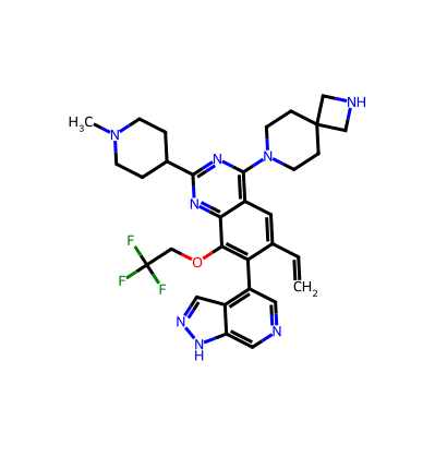 C=Cc1cc2c(N3CCC4(CC3)CNC4)nc(C3CCN(C)CC3)nc2c(OCC(F)(F)F)c1-c1cncc2[nH]ncc12